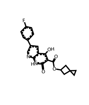 O=C(OC1CC2(CC2)C1)c1c(O)c2cc(-c3ccc(F)cc3)cnc2[nH]c1=O